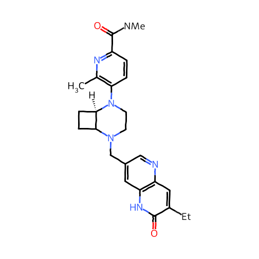 CCc1cc2ncc(CN3CCN(c4ccc(C(=O)NC)nc4C)[C@@H]4CCC43)cc2[nH]c1=O